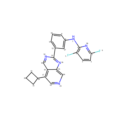 Fc1ccc(F)c(Nc2cccc(-c3ncc4c(C5CCC5)cncc4n3)c2)n1